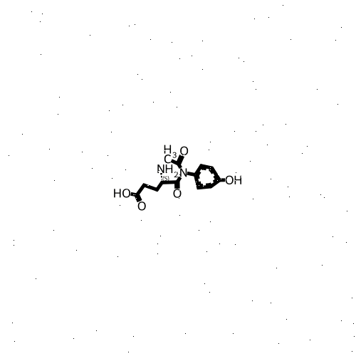 CC(=O)N(C(=O)[C@@H](N)CCC(=O)O)c1ccc(O)cc1